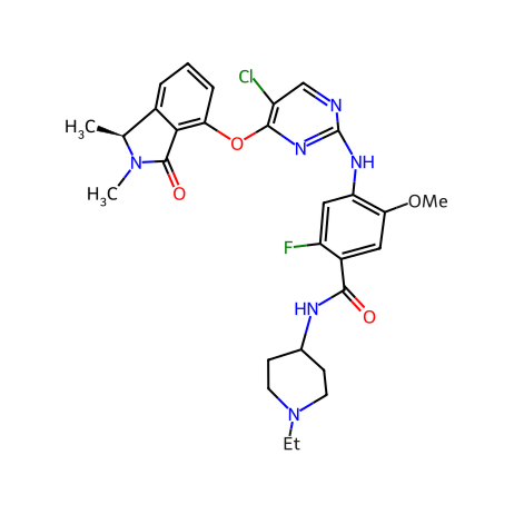 CCN1CCC(NC(=O)c2cc(OC)c(Nc3ncc(Cl)c(Oc4cccc5c4C(=O)N(C)[C@H]5C)n3)cc2F)CC1